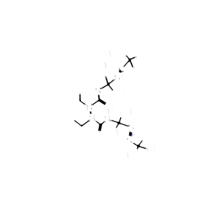 CCN(C(=O)NC(C)(C)/N=N/C(C)(C)C)N(CC)C(=O)NC(C)(C)/N=N/C(C)(C)C